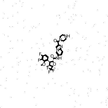 COc1c([C@H]2[C@H](C(=O)Nc3ccc4nc(C(=O)N5CCNCC5)cn4c3)O[C@@](C)(C(F)(F)F)[C@H]2C)ccc(F)c1F